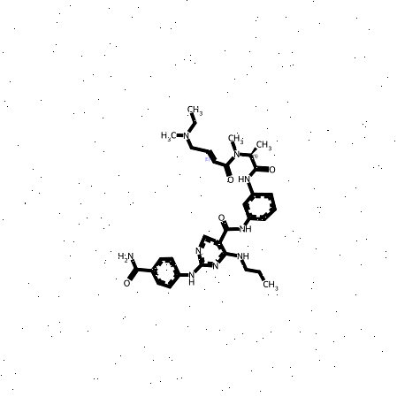 CCCNc1nc(Nc2ccc(C(N)=O)cc2)ncc1C(=O)Nc1cccc(NC(=O)[C@H](C)N(C)C(=O)/C=C/CN(C)CC)c1